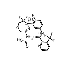 C[C@]1(c2cc(NC(=O)c3ncccc3C(F)(F)F)ccc2F)N=C(N)COCC1(F)F.O=CO